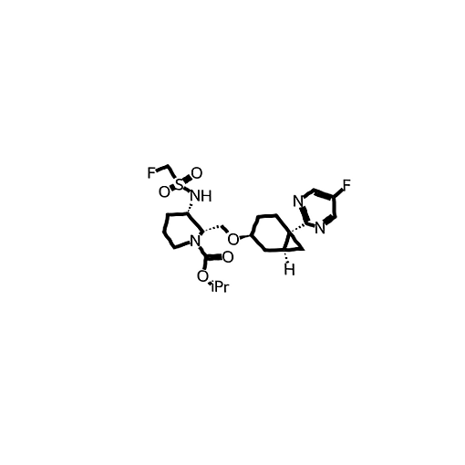 CC(C)OC(=O)N1CCC[C@H](NS(=O)(=O)CF)[C@@H]1CO[C@H]1CC[C@@]2(c3ncc(F)cn3)C[C@H]2C1